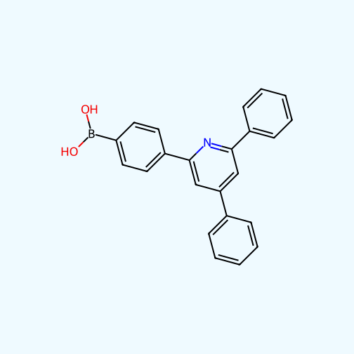 OB(O)c1ccc(-c2cc(-c3ccccc3)cc(-c3ccccc3)n2)cc1